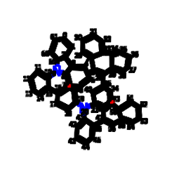 C1=CC2c3ccccc3N(c3ccccc3-c3ccc(N(c4cccc(-c5cc6ccccc6c6ccccc56)c4)c4ccccc4-c4ccc5ccccc5c4)cc3)C2C=C1